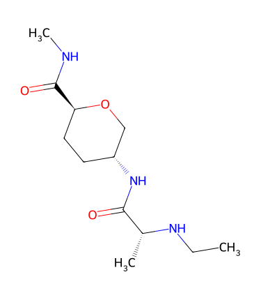 CCN[C@H](C)C(=O)N[C@@H]1CC[C@@H](C(=O)NC)OC1